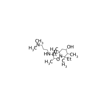 CCC1(C)CC(O)C(C)C(C)(CC)N1OC(C)C(=O)NCCCN(C)C